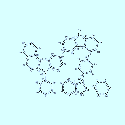 c1ccc(-c2nc3ccccc3n2-c2ccc(-c3cccc4oc5ccc(-c6ccc7c(c6)c6c8ccccc8ccc6n7-c6ccccc6)cc5c34)cc2)cc1